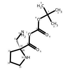 CC(C)(C)OC(=O)OC(=O)[C@]1(CN)CCCN1